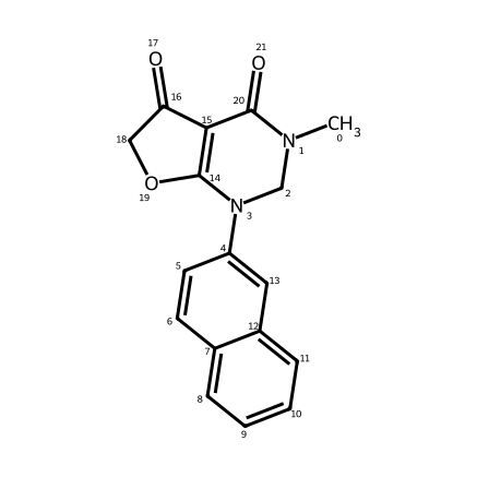 CN1CN(c2ccc3ccccc3c2)C2=C(C(=O)CO2)C1=O